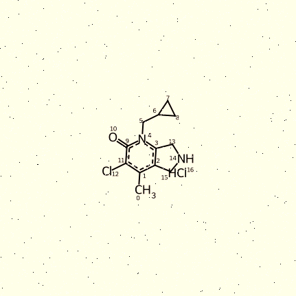 Cc1c2c(n(CC3CC3)c(=O)c1Cl)CNC2.Cl